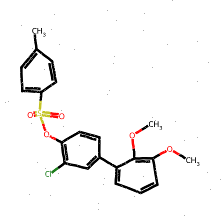 COc1cccc(-c2ccc(OS(=O)(=O)c3ccc(C)cc3)c(Cl)c2)c1OC